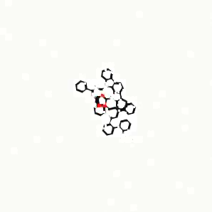 CC1C=CC=CC1c1ccccc1-c1cc(-c2ccccc2)cc(-c2ccccc2-n2c3ccccc3c3ccc4c5ccccc5n(-c5nc(-c6ccccc6)nc(-c6ccccc6)n5)c4c32)n1